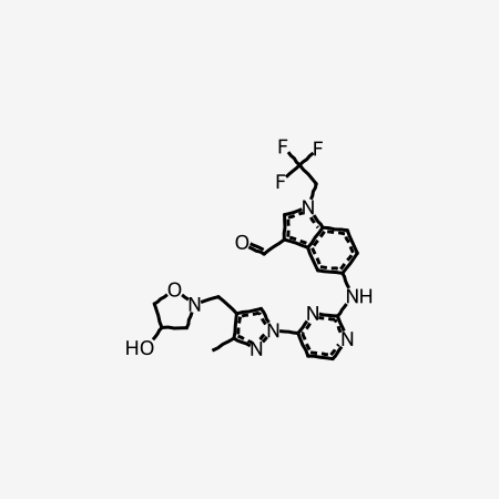 Cc1nn(-c2ccnc(Nc3ccc4c(c3)c(C=O)cn4CC(F)(F)F)n2)cc1CN1CC(O)CO1